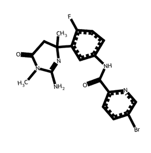 CN1C(=O)CC(C)(c2cc(NC(=O)c3ccc(Br)cn3)ccc2F)N=C1N